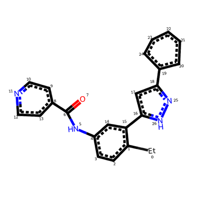 CCc1ccc(NC(=O)c2ccncc2)cc1-c1cc(-c2ccccc2)n[nH]1